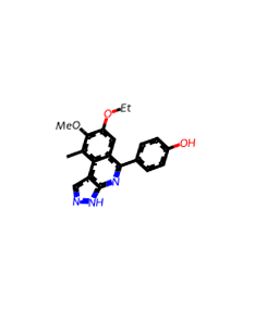 CCOc1cc2c(-c3ccc(O)cc3)nc3[nH]ncc3c2c(C)c1OC